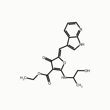 CCOC(=O)C1=C(NC(C)CO)OC(=Cc2c[nH]c3ncccc23)C1=O